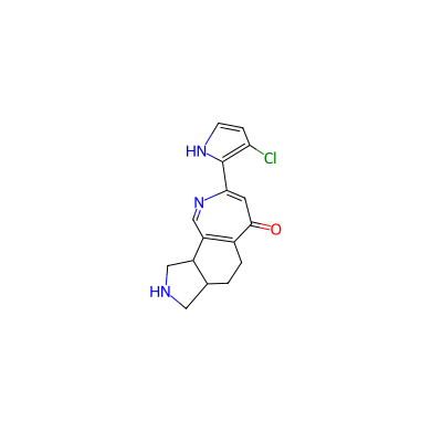 O=c1cc(-c2[nH]ccc2Cl)ncc2c1CCC1CNCC21